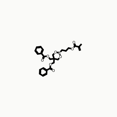 C=C(C)C(=O)OCCCB1OCC(COC(=O)c2ccccc2)(COC(=O)c2ccccc2)CO1